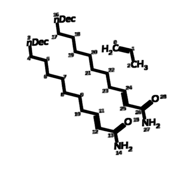 C=CC.CCCCCCCCCCCCCCCCC/C=C/C(N)=O.CCCCCCCCCCCCCCCCC/C=C/C(N)=O